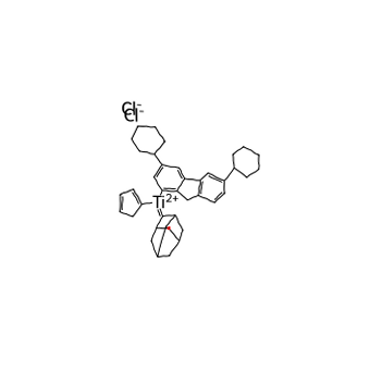 C1=CC[C]([Ti+2](=[C]2C3CC4CC(C3)CC2C4)[c]2cc(C3CCCCC3)cc3c2Cc2ccc(C4CCCCC4)cc2-3)=C1.[Cl-].[Cl-]